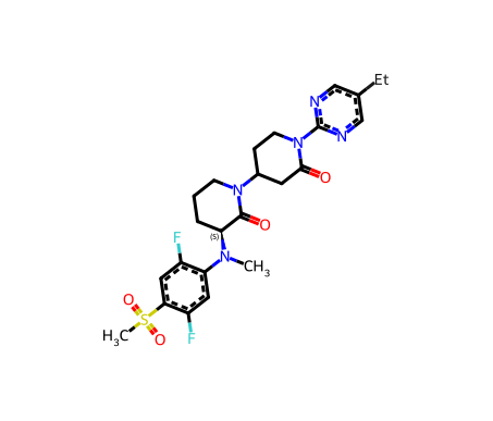 CCc1cnc(N2CCC(N3CCC[C@H](N(C)c4cc(F)c(S(C)(=O)=O)cc4F)C3=O)CC2=O)nc1